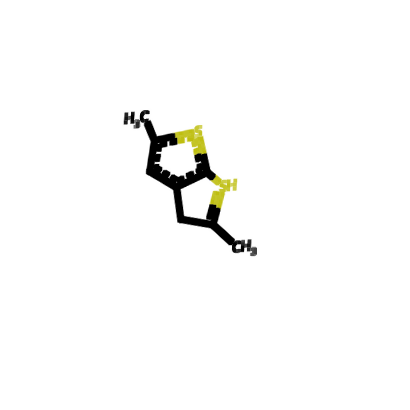 CC1=[SH]c2sc(C)cc2C1